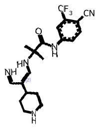 CC(C)(N/C=C(\C=N)C1CCNCC1)C(=O)Nc1ccc(C#N)c(C(F)(F)F)c1